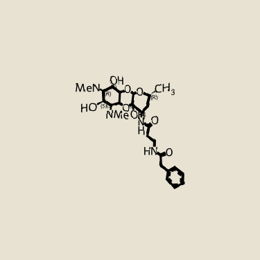 CN[C@@H]1[C@H](O)[C@H](NC)C2O[C@]3(O)C(OC2[C@@H]1O)O[C@H](C)C[C@H]3NC(=O)CCNC(=O)Cc1ccccc1